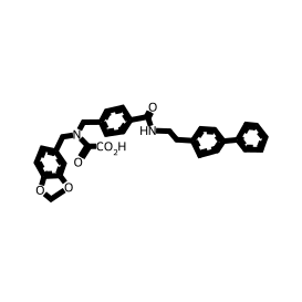 O=C(O)C(=O)N(Cc1ccc(C(=O)NCCc2ccc(-c3ccccc3)cc2)cc1)Cc1ccc2c(c1)OCO2